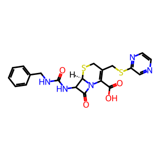 O=C(NCc1ccccc1)NC1C(=O)N2C(C(=O)O)=C(CSc3cnccn3)CS[C@H]12